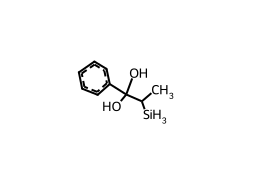 CC([SiH3])C(O)(O)c1ccccc1